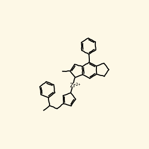 CC1=Cc2c(cc3c(c2-c2ccccc2)CCC3)[CH]1[Zr+2][CH]1C=CC(CC(C)c2ccccc2)=C1